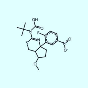 COC1CCC2(c3cc([N+](=O)[O-])ccc3F)N=C(N(C(=O)O)C(C)(C)C)SCC12